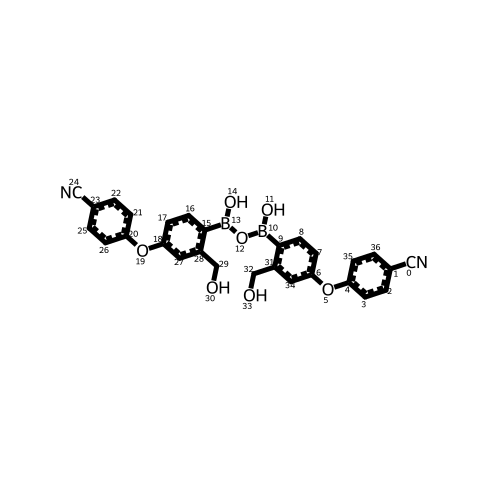 N#Cc1ccc(Oc2ccc(B(O)OB(O)c3ccc(Oc4ccc(C#N)cc4)cc3CO)c(CO)c2)cc1